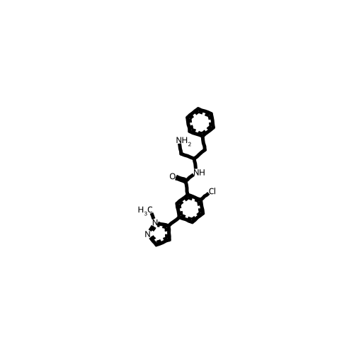 Cn1nccc1-c1ccc(Cl)c(C(=O)NC(CN)Cc2ccccc2)c1